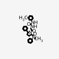 Cc1cccc(NC(=O)NCC(=O)N2C(C(=O)N(C)c3ccccc3)CCC2c2ccccc2)c1